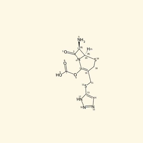 N[C@@H]1C(=O)N2C(OC(=O)O)=C(CSc3cnn[nH]3)CS[C@H]12